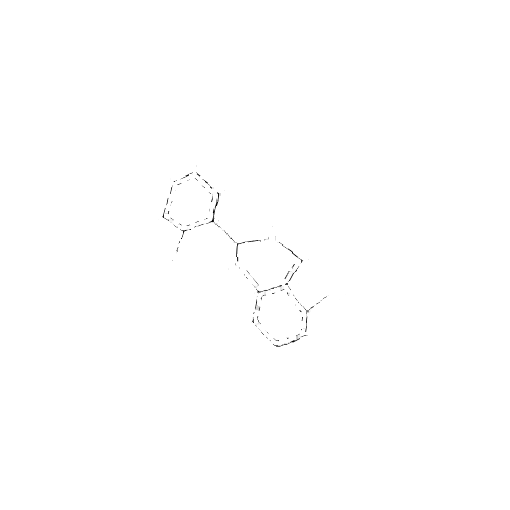 Fc1ccccc1C1N=c2cccc(C(F)(F)F)c2=CO1